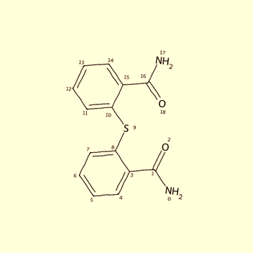 NC(=O)c1ccccc1Sc1ccccc1C(N)=O